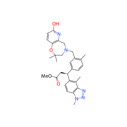 COC(=O)C[C@@H](c1ccc(C)c(CN2Cc3nc(O)ccc3OC(C)(C)C2)c1)c1ccc2c(nnn2C)c1C